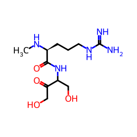 CN[C@@H](CCCNC(=N)N)C(=O)NC(CO)C(=O)CO